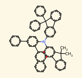 CC1(C)c2ccccc2-c2ccc(N(c3ccc4c(c3)C(c3ccccc3)(c3ccccc3)c3ccccc3-4)c3ccc(-c4ccccc4)cc3-c3ccc4ccccc4c3)cc21